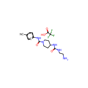 N#Cc1ccc(NC(=O)N2CCC(NC(=O)NCCN)CC2)cc1.O=C(O)C(F)(F)F